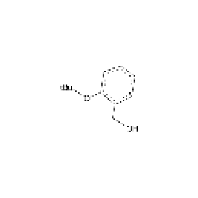 CC(C)(C)Oc1ccccc1CO